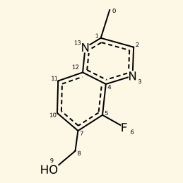 Cc1cnc2c(F)c(CO)ccc2n1